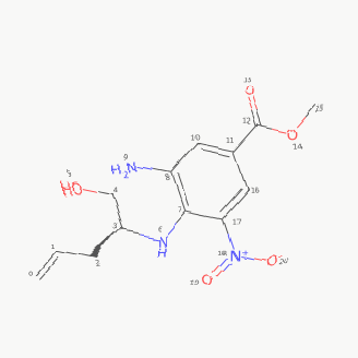 C=CC[C@@H](CO)Nc1c(N)cc(C(=O)OC)cc1[N+](=O)[O-]